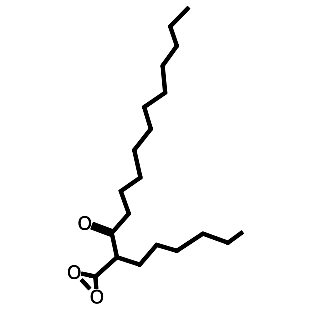 CCCCCCCCCCCC(=O)C(CCCCCC)[C]1OO1